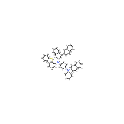 c1ccc2cc(-c3cc(N(c4ccc(-n5c6ccccc6c6cc7ccccc7cc65)cc4)c4cccc5c4sc4ccccc45)cc4ccccc34)ccc2c1